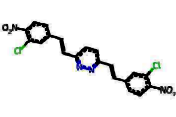 O=[N+]([O-])c1ccc(C=Cc2ccc(C=Cc3ccc([N+](=O)[O-])c(Cl)c3)nn2)cc1Cl